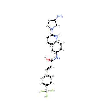 NC1CCN(c2ccc3cc(NC(=O)/C=C/c4ccc(C(F)(F)F)cc4)ccc3n2)C1